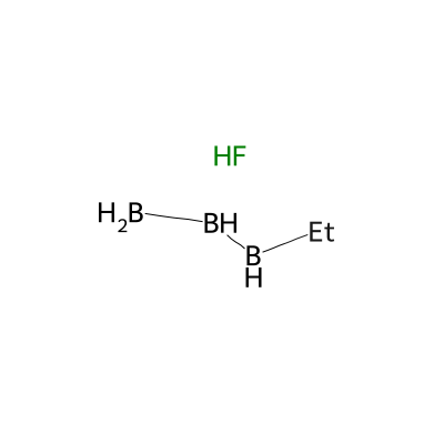 BBBCC.F